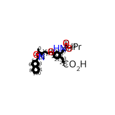 Cc1oc(-c2ccc3ccccc3c2)nc1CCOc1ccc(CCC(=O)O)c(CNC(=O)OC(C)C)c1